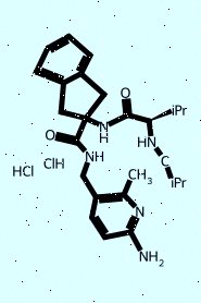 Cc1nc(N)ccc1CNC(=O)C1(NC(=O)[C@H](NCC(C)C)C(C)C)Cc2ccccc2C1.Cl.Cl